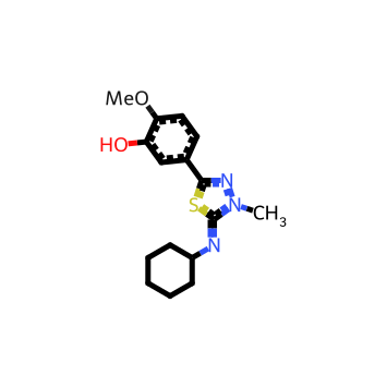 COc1ccc(-c2nn(C)c(=NC3CCCCC3)s2)cc1O